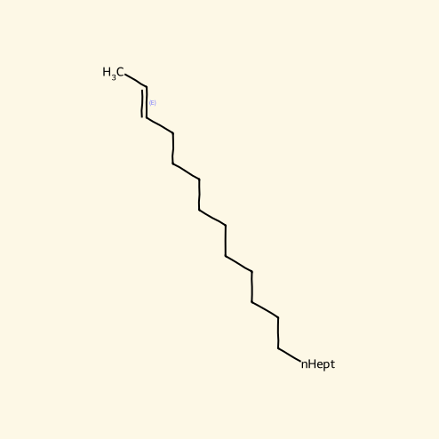 C/C=C/CCCCCCCCCCCCCCCCC